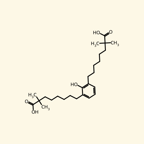 CC(C)(CCCCCCc1cccc(CCCCCCC(C)(C)C(=O)O)c1O)C(=O)O